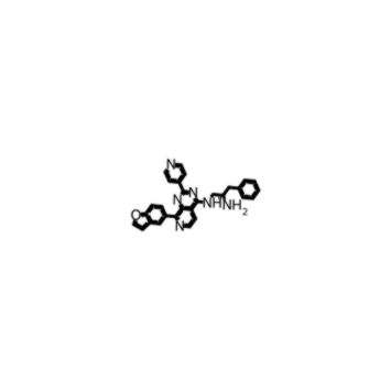 N[C@@H](CNc1nc(-c2ccncc2)nc2c(-c3ccc4occc4c3)nccc12)Cc1ccccc1